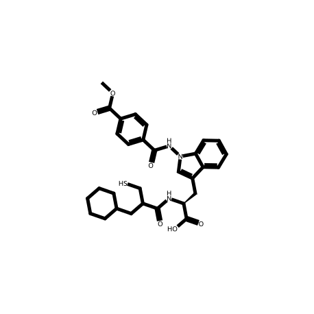 COC(=O)c1ccc(C(=O)Nn2cc(C[C@H](NC(=O)C(CS)CC3CCCCC3)C(=O)O)c3ccccc32)cc1